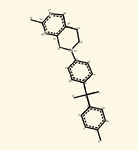 Cc1ccc(C(C)(C)c2ccc(N3CCc4cnc(C)nc4C3)cc2)cc1